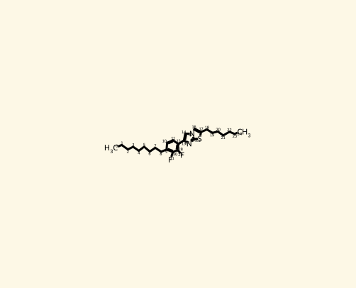 CCCCCCCCCc1ccc(-c2cn3cc(CCCCCCC)sc3n2)c(F)c1F